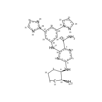 NC(=O)c1ncc(N[C@@H]2CCCC[C@@H]2N)nc1Nc1cc(-n2cccn2)cc(-n2nccn2)c1